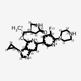 C[C@@H](Oc1nc(-c2cnc(N3CCNCC3)c(F)c2)cc2ncn(C3CC3)c12)[C@H]1CNC(=O)C1